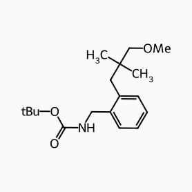 COCC(C)(C)Cc1ccccc1CNC(=O)OC(C)(C)C